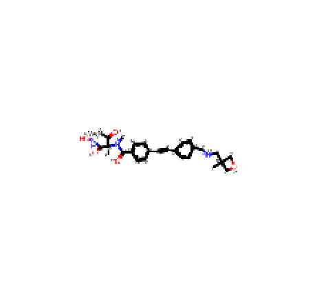 CNC(=O)[C@@](C)(C(=O)NO)N(C)C(=O)c1ccc(C#Cc2ccc(CNCC3(C)COC3)cc2)cc1